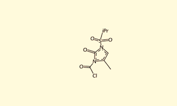 Cc1cn(S(=O)(=O)C(C)C)c(=O)n1C(=O)Cl